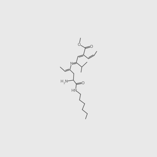 C\C=C/C(=C\C(=N\C(=C/C)CC(N)C(=O)NCCCCCC)C(C)C)C(=O)OC